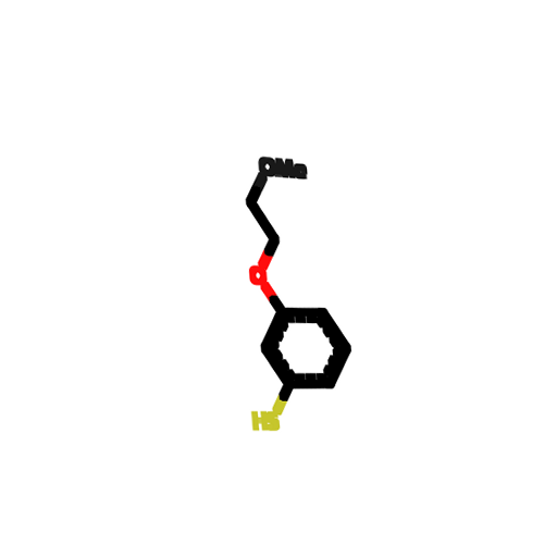 COCCOc1cccc(S)c1